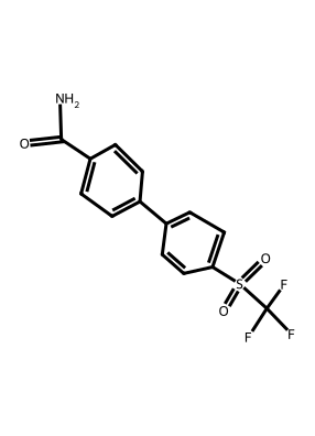 NC(=O)c1ccc(-c2ccc(S(=O)(=O)C(F)(F)F)cc2)cc1